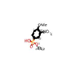 CCC(C)OP(=O)(O)c1ccc(OC)c([N+](=O)[O-])c1